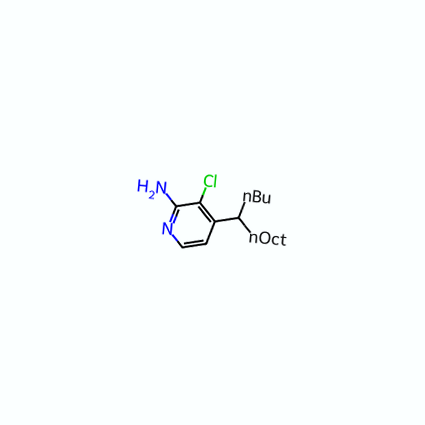 CCCCCCCCC(CCCC)c1ccnc(N)c1Cl